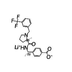 C[C@H](NC(=O)[C@@]1(C)CCCN1Cc1cccc(C(F)(F)F)c1)c1ccc(C(=O)[O-])cc1.[Li+]